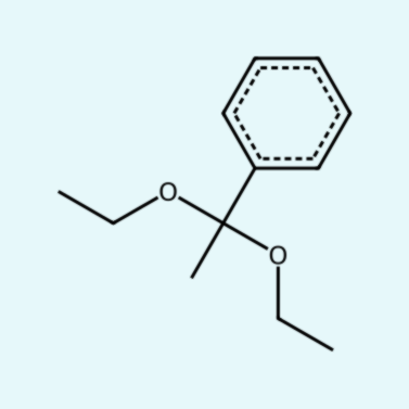 CCOC(C)(OCC)c1ccccc1